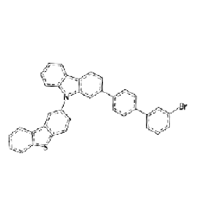 Brc1cccc(-c2ccc(-c3ccc4c5ccccc5n(-c5ccc6sc7ccccc7c6c5)c4c3)cc2)c1